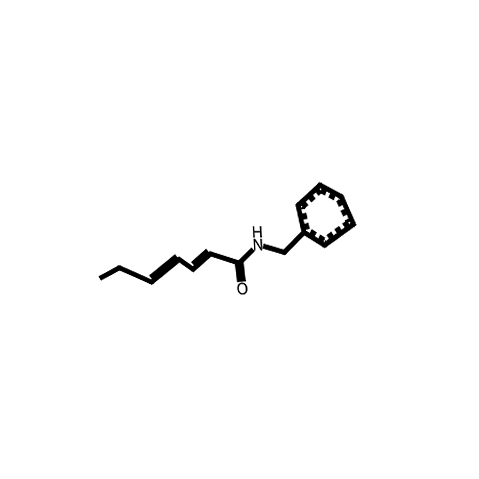 CCC=CC=CC(=O)NCc1ccccc1